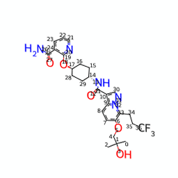 CC(C)(O)COc1ccc2c(C(=O)N[C@H]3CC[C@H](Oc4ncccc4C(N)=O)CC3)cnn2c1CCC(F)(F)F